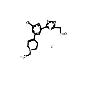 O=C([O-])Cc1nnc(-c2cc(Cl)cc(C3=CCN(CC(F)(F)F)CC3)c2)o1.[Li+]